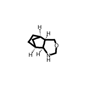 C1N[C@H]2[C@H]3CC[C@H](C3)[C@H]2CO1